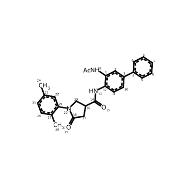 CC(=O)Nc1cc(-c2ccccc2)ccc1NC(=O)C1CC(=O)N(c2cc(C)ccc2C)C1